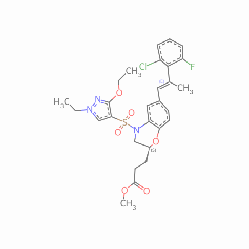 CCOc1nn(CC)cc1S(=O)(=O)N1C[C@H](CCC(=O)OC)Oc2ccc(/C=C(\C)c3c(F)cccc3Cl)cc21